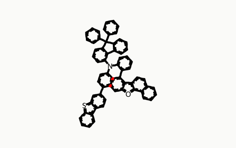 c1ccc(C2(c3ccccc3)c3ccccc3-c3c(N(c4ccc(-c5ccc6c(c5)sc5ccccc56)cc4)c4ccccc4-c4cccc5oc6c7ccccc7ccc6c45)cccc32)cc1